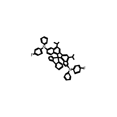 CC(C)c1cc2c(c3ccc(N(c4ccccc4)c4ccc(F)cc4)cc13)C1(c3ccccc3-c3ccccc31)c1c-2cc(C(C)C)c2cc(N(c3ccccc3)c3ccc(F)cc3)ccc12